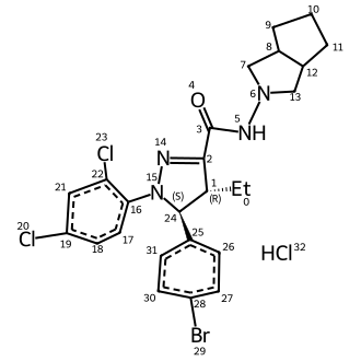 CC[C@H]1C(C(=O)NN2CC3CCCC3C2)=NN(c2ccc(Cl)cc2Cl)[C@@H]1c1ccc(Br)cc1.Cl